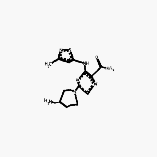 Cc1cc(Nc2nc(N3CC[C@@H](N)C3)cnc2C(N)=O)sn1